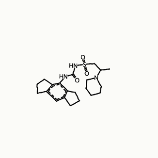 CC(CS(=O)(=O)NC(=O)Nc1c2c(cc3c1CCC3)CCC2)N1CCCCC1